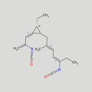 C=C(/C=C1\C(C/C(C)=C/C=C(\CC)N=C=O)[C@H]1CC)N=C=O